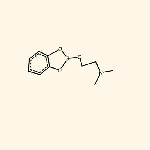 CN(C)CCOB1Oc2ccccc2O1